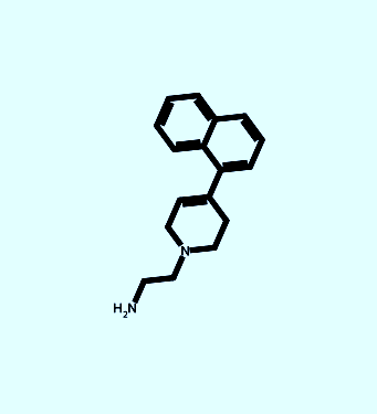 NCCN1CC=C(c2cccc3ccccc23)CC1